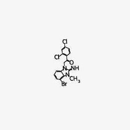 Cn1c(=N)n(CC(=O)c2ccc(Cl)cc2Cl)c2cccc(Br)c21